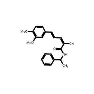 COc1ccc(C=CC=C(C#N)C(=O)NC(C)c2ccccc2)cc1OC